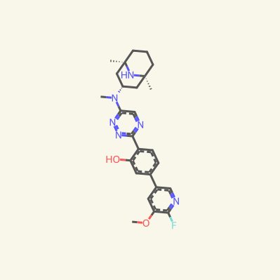 COc1cc(-c2ccc(-c3ncc(N(C)[C@H]4C[C@]5(C)CCC[C@](C)(C4)N5)nn3)c(O)c2)cnc1F